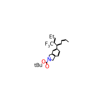 C\C=C/C=C(\C(=C\CC)C(F)(F)F)c1ccc2c(c1)CN(C(=O)OC(C)(C)C)C2